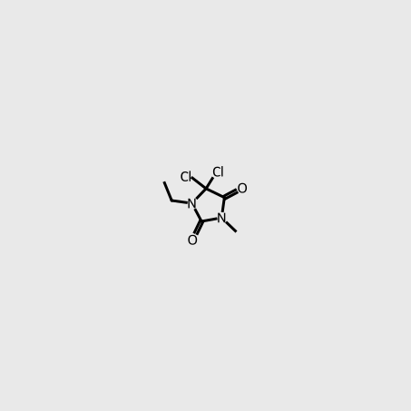 CCN1C(=O)N(C)C(=O)C1(Cl)Cl